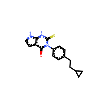 O=c1c2cc[nH]c2[nH]c(=S)n1-c1ccc(CCC2CC2)cc1